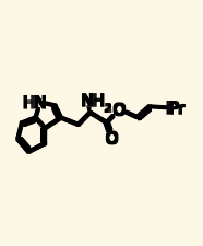 CC(C)C=COC(=O)[C@@H](N)Cc1c[nH]c2ccccc12